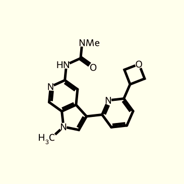 CNC(=O)Nc1cc2c(-c3cccc(C4COC4)n3)cn(C)c2cn1